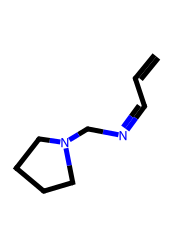 C=C/C=N\CN1CCCC1